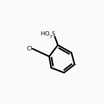 O=S(=O)(O)c1c[c]ccc1Cl